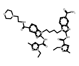 CCn1nc(C)cc1C(=O)Nc1nc2cc(C(N)=O)ccc2n1CCCCn1c(NC(=O)c2cc(C)nn2CC)nc2cc(C(=O)NCCN3CCOCC3)ccc21